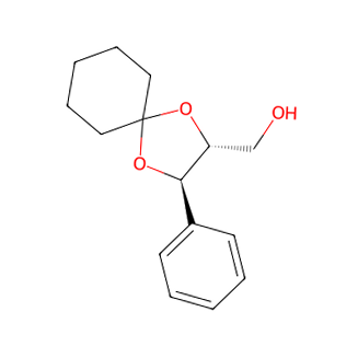 OC[C@H]1OC2(CCCCC2)O[C@@H]1c1ccccc1